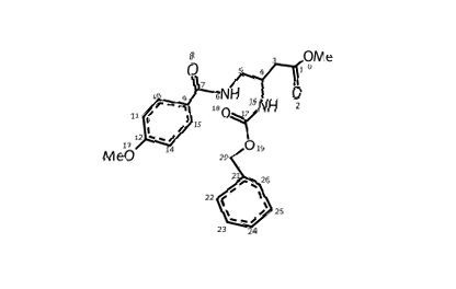 COC(=O)CC(CNC(=O)c1ccc(OC)cc1)NC(=O)OCc1ccccc1